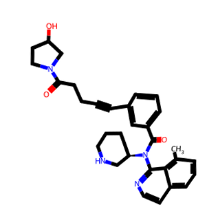 Cc1cccc2ccnc(N(C(=O)c3cccc(C#CCCC(=O)N4CCC(O)C4)c3)[C@@H]3CCCNC3)c12